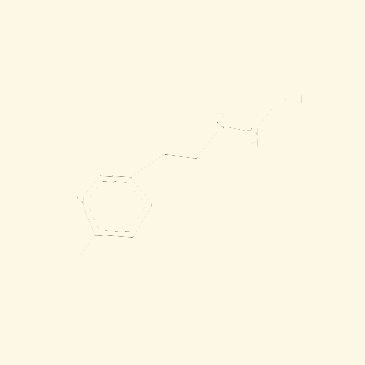 O=C(O)NNCCc1ccc(C(F)(F)F)nc1